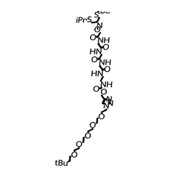 CC(C)SC/C(CSC(C)(C)C)=N\OCC(=O)NCC(=O)NCC(=O)NCC(=O)NCCNC(=O)OCc1cn(CCOCCOCCOCCOCCOCCC(C)(C)C)nn1